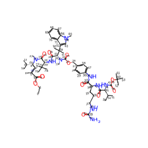 CCOC(=O)/C(C)=C/[C@H](C(C)C)N(C)C(=O)[C@@H](NC(=O)[C@@H](N(C)C(=O)OCc1ccc(NC(=O)[C@H](CCCNC(N)=O)NC(=O)C(NC(=O)OC(C)(C)C)C(C)C)cc1)C(C)(C)c1cn(C)c2ccccc12)C(C)(C)C